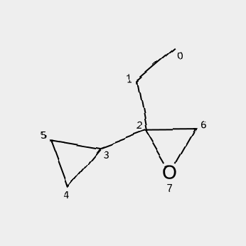 CCC1(C2CC2)CO1